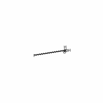 O=C(CCCCCCCCCCCCCCCCCCCCCCCCCCCI)NO